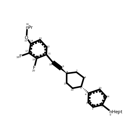 CCCCCCCc1ccc([C@H]2CC[C@H](C#Cc3ccc(OCCC)c(F)c3F)CC2)cc1